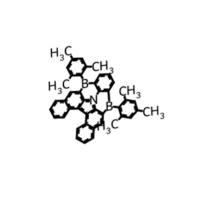 Cc1cc(C)c(B2c3cccc4c3-n3c5c2cc2ccccc2c5c2c5ccccc5cc(c23)B4c2c(C)cc(C)cc2C)c(C)c1